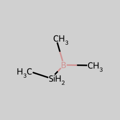 C[SiH2]B(C)C